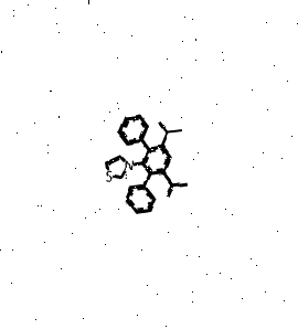 CC(C)c1cc(C(C)C)c(-c2ccccc2)c(N2[C]SC=C2)c1-c1ccccc1